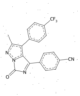 Cc1nn2c(c1-c1ccc(C(F)(F)F)cc1)C(c1ccc(C#N)cc1)=NC2=O